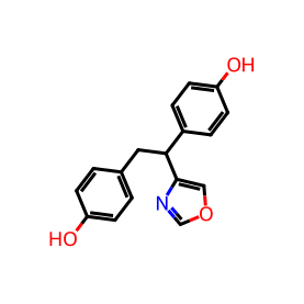 Oc1ccc(CC(c2ccc(O)cc2)c2cocn2)cc1